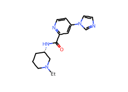 CCN1CCC[C@H](NC(=O)c2cc(-n3ccnc3)ccn2)C1